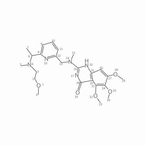 COCCN(C)C(C)c1cccc(CN(C)c2nc(=O)c3c(OC)c(OC)c(OC)cc3[nH]2)n1